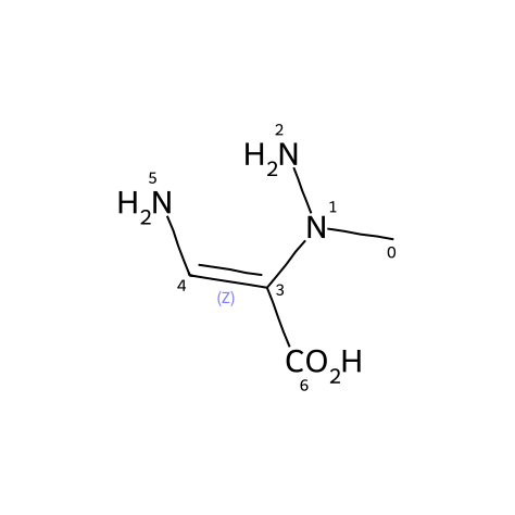 CN(N)/C(=C\N)C(=O)O